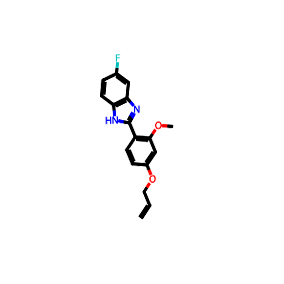 C=CCOc1ccc(-c2nc3cc(F)ccc3[nH]2)c(OC)c1